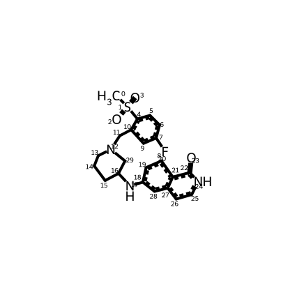 CS(=O)(=O)c1ccc(F)cc1CN1CCCC(Nc2ccc3c(=O)[nH]ccc3c2)C1